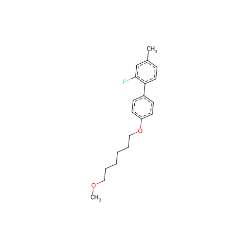 COCCCCCCOc1ccc(-c2ccc(C)cc2F)cc1